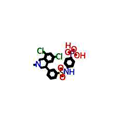 CN1Cc2c(Cl)cc(Cl)cc2C(c2cccc(S(=O)(=O)Nc3ccc(P(=O)(O)O)cc3)c2)C1